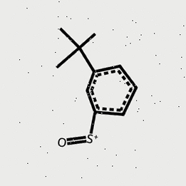 CC(C)(C)c1cccc([S+]=O)c1